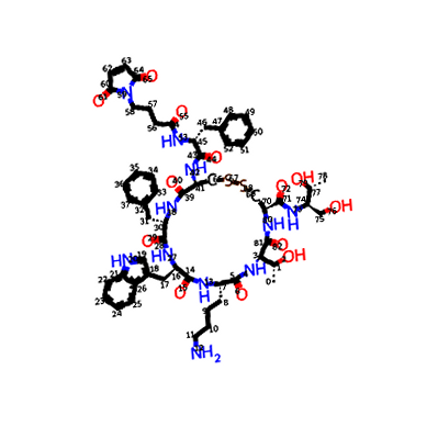 C[C@@H](O)[C@@H]1NC(=O)[C@H](CCCCN)NC(=O)[C@@H](Cc2c[nH]c3ccccc23)NC(=O)[C@H](Cc2ccccc2)NC(=O)[C@@H](NC(=O)[C@@H](Cc2ccccc2)NC(=O)CCCN2C(=O)C=CC2=O)CSSC[C@@H](C(=O)N[C@H](CO)[C@@H](C)O)NC1=O